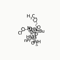 CCC[C@H](NC(=O)[C@@H]1C[C@]2(CC(c3cccc(Cl)c3)=NO2)CN1C(=O)[C@@H](NC(=O)CCc1ccc(C)cc1)C(C)(C)C)C(=O)C(=O)NC1CC1